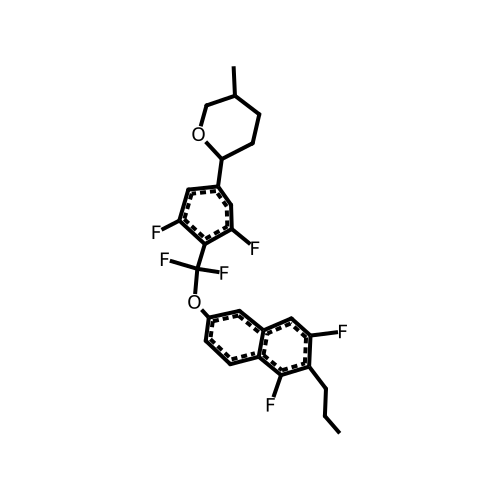 CCCc1c(F)cc2cc(OC(F)(F)c3c(F)cc(C4CCC(C)CO4)cc3F)ccc2c1F